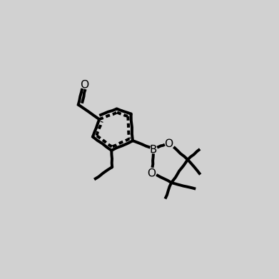 CCc1cc(C=O)ccc1B1OC(C)(C)C(C)(C)O1